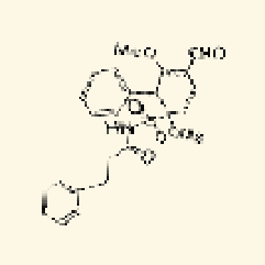 COC1=C(C=O)C=CC(OC)(S(=O)(=O)NC(=O)CCc2ccccc2)C1c1ccccc1